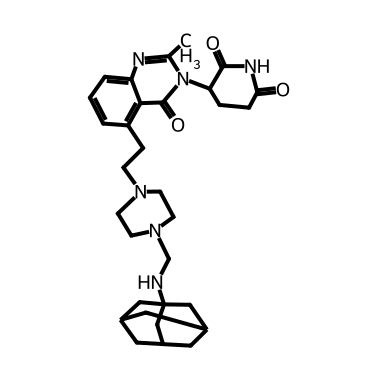 Cc1nc2cccc(CCN3CCN(CNC45CC6CC(CC(C6)C4)C5)CC3)c2c(=O)n1C1CCC(=O)NC1=O